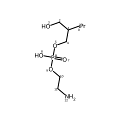 CC(C)C(CO)COP(=O)(O)OCCN